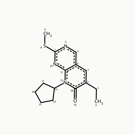 CCc1cc2cnc(SC)nc2n(C2CCCC2)c1=O